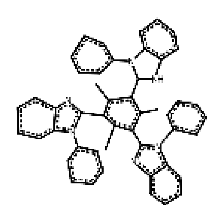 Cc1c(-c2nc3ccccc3n2-c2ccccc2)c(C)c(C2Nc3ccccc3N2c2ccccc2)c(C)c1-c1nc2ccccc2n1-c1ccccc1